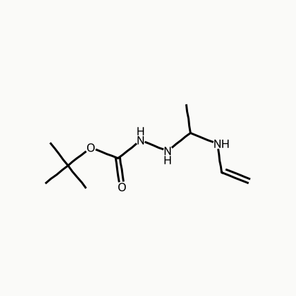 C=CNC(C)NNC(=O)OC(C)(C)C